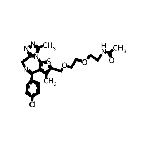 CC(=O)NCCOCCOCc1sc2c(c1C)C(c1ccc(Cl)cc1)=NCc1nnc(C)n1-2